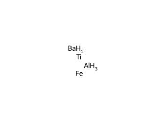 [AlH3].[BaH2].[Fe].[Ti]